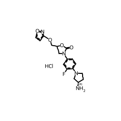 Cl.N[C@@H]1CCN(c2ccc(N3CC(COc4ccon4)OC3=O)cc2F)C1